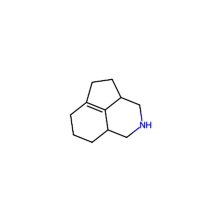 C1CC2=C3C(C1)CNCC3CC2